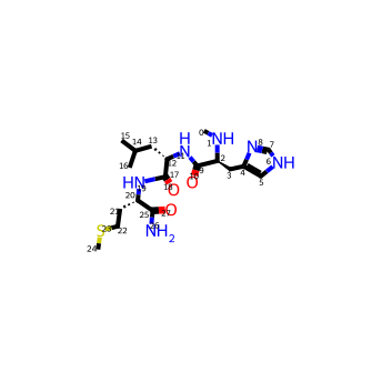 CN[C@@H](Cc1c[nH]cn1)C(=O)N[C@@H](CC(C)C)C(=O)N[C@@H](CCSC)C(N)=O